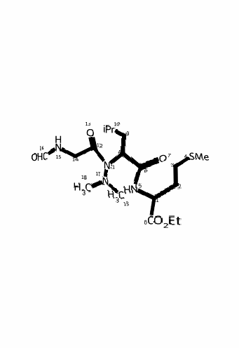 CCOC(=O)C(CCSC)NC(=O)C(CC(C)C)N(C(=O)CNC=O)N(C)C